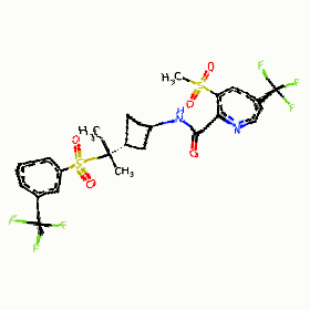 CC(C)([C@H]1C[C@H](NC(=O)c2ncc(C(F)(F)F)cc2S(C)(=O)=O)C1)S(=O)(=O)c1cccc(C(F)(F)F)c1